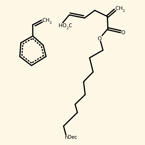 C=C(CC=CC(=O)O)C(=O)OCCCCCCCCCCCCCCCCCC.C=Cc1ccccc1